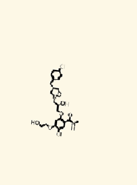 CNC(=O)c1cc(Cl)c(OCCO)cc1OC[C@@H](O)CN1C[C@@H](Cc2ccc(Cl)cc2)CO1